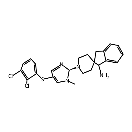 CN1C=C(Sc2cccc(Cl)c2Cl)C=N[C@H]1N1CCC2(CC1)Cc1ccccc1C2N